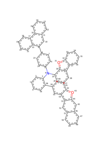 c1ccc(N(c2ccc(-c3cc4ccccc4c4ccccc34)cc2)c2cccc3c2oc2ccccc23)c(-c2ccc3oc4cc5ccccc5cc4c3c2)c1